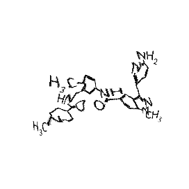 Cc1ccc(NC(=O)c2ccc3c(c2)c(-c2ccc(N)nc2)nn3C)cc1NC(=O)C1CCN(C)CC1